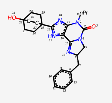 CCCN1C(=O)N2C[C@@H](Cc3ccccc3)N=C2c2[nH]c(C34CCC(O)(CC3)CC4)nc21